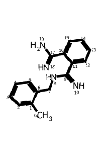 Cc1ccccc1CNC(=N)c1ccccc1C(=N)N